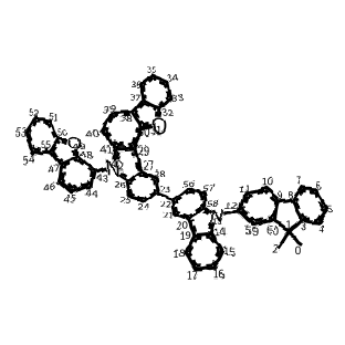 CC1(C)c2ccccc2-c2ccc(-n3c4ccccc4c4cc(-c5ccc6c(c5)c5c7oc8ccccc8c7ccc5n6-c5cccc6c5oc5ccccc56)ccc43)cc21